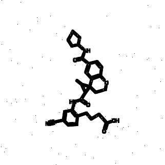 CC1C(C(=O)Nc2cc(C#N)ccc2CCCC(=O)O)C12CCOc1ccc(C(=O)NC3CCCC3)cc12